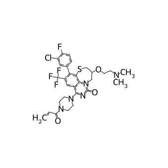 C=CC(=O)N1CCN(c2nc(=O)n3c4c(c(-c5ccc(F)c(Cl)c5)c(C(F)(F)F)cc24)SCC(OCCN(C)C)C3)CC1